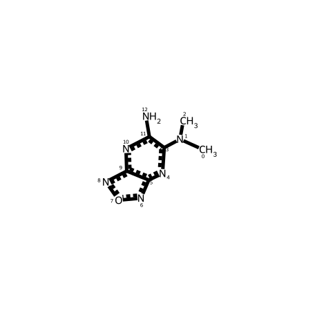 CN(C)c1nc2nonc2nc1N